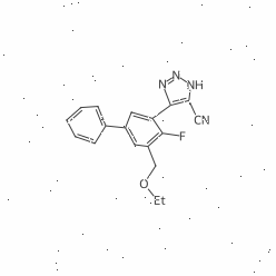 CCOCc1cc(-c2ccccc2)cc(-c2nn[nH]c2C#N)c1F